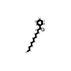 CCCCCCCCCCCC(=O)c1cc[c]cc1